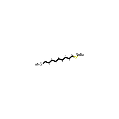 [CH2]CCCCCCCCCCCCCCCCCSCCCC